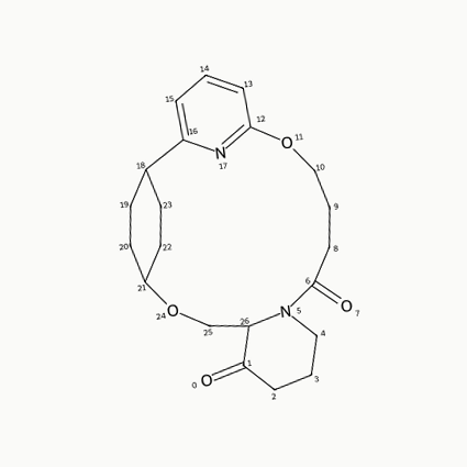 O=C1CCCN2C(=O)CCCOc3cccc(n3)C3CCC(CC3)OCC12